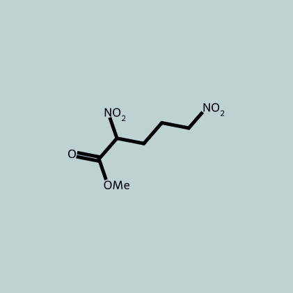 COC(=O)C(CCC[N+](=O)[O-])[N+](=O)[O-]